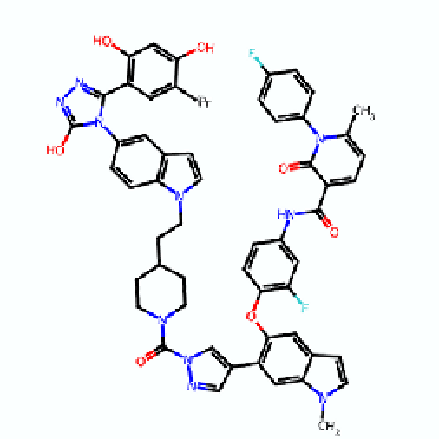 Cc1ccc(C(=O)Nc2ccc(Oc3cc4ccn(C)c4cc3-c3cnn(C(=O)N4CCC(CCn5ccc6cc(-n7c(O)nnc7-c7cc(C(C)C)c(O)cc7O)ccc65)CC4)c3)c(F)c2)c(=O)n1-c1ccc(F)cc1